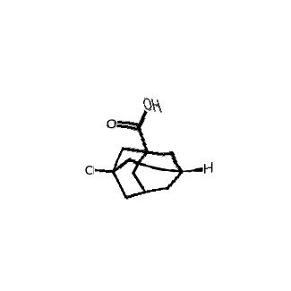 O=C(O)C12CC3C[C@H](CC(Cl)(C3)C1)C2